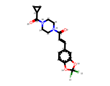 O=C(/C=C/c1ccc2c(c1)OC(F)(F)O2)N1CCN(C(=O)C2CC2)CC1